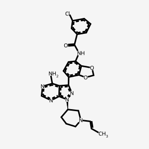 CC=CN1CCC[C@@H](n2nc(-c3ccc(NC(=O)c4cccc(Cl)c4)c4c3OCO4)c3c(N)ncnc32)C1